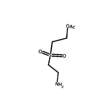 CC(=O)OCCS(=O)(=O)CCN